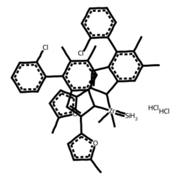 Cc1ccc(C2=Cc3c(cc(C)c(C)c3-c3ccccc3Cl)[CH]2[Zr]([CH3])([CH3])(=[SiH2])[CH]2C(c3ccc(C)o3)=Cc3c2cc(C)c(C)c3-c2ccccc2Cl)o1.Cl.Cl